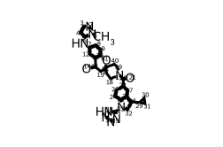 Cn1nccc1Nc1ccc2c(c1)C(=O)CC1(CCN(C(=O)c3ccc4c(c3)c(C3CC3)cn4-c3nnn[nH]3)CC1)O2